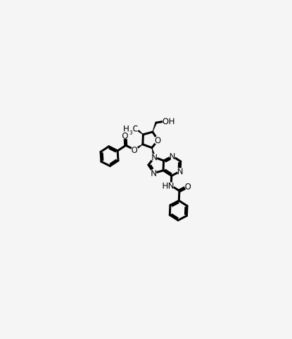 C[C@@H]1[C@H](OC(=O)c2ccccc2)[C@H](n2cnc3c(NC(=O)c4ccccc4)ncnc32)O[C@@H]1CO